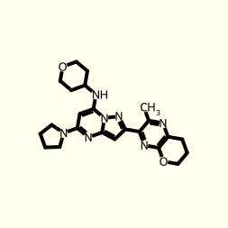 Cc1nc2c(nc1-c1cc3nc(N4CCCC4)cc(NC4CCOCC4)n3n1)OCCC2